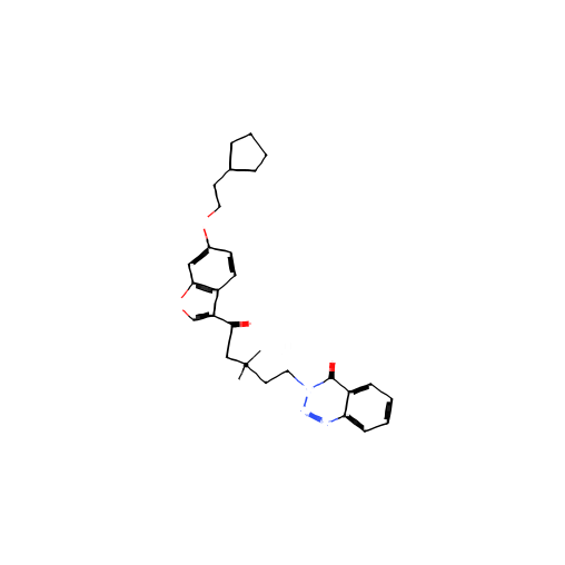 O=C(CC(CCn1nnc2ccccc2c1=O)(C(=O)O)C(=O)O)c1coc2cc(OCCC3CCCC3)ccc12